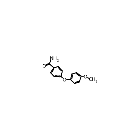 COc1ccc(Oc2ccc(C(N)=O)cc2)cc1